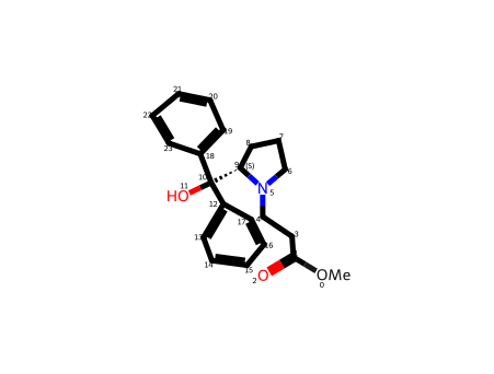 COC(=O)CCN1CCC[C@H]1C(O)(c1ccccc1)c1ccccc1